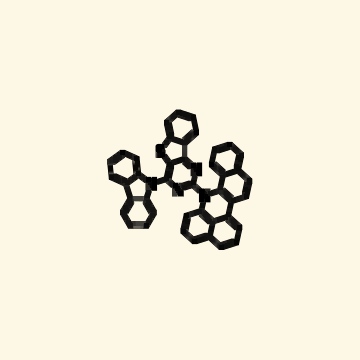 c1ccc2c3c(ccc2c1)-c1cccc2cccc(c12)N3c1nc(-n2c3ccccc3c3ccccc32)c2sc3ccccc3c2n1